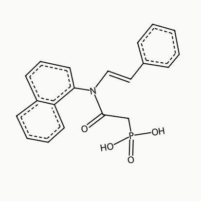 O=C(CP(=O)(O)O)N(/C=C/c1ccccc1)c1cccc2ccccc12